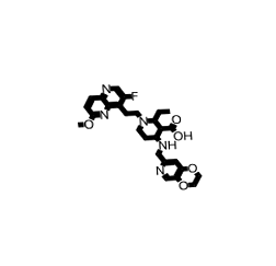 CCC1C(C(=O)O)C(NCc2cc3c(cn2)OCCO3)CCN1CCc1c(F)cnc2ccc(OC)nc12